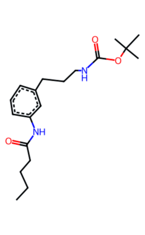 CCCCC(=O)Nc1cccc(CCCNC(=O)OC(C)(C)C)c1